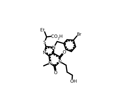 CCC(Sc1nc2c(c(=O)n(CCCO)c(=O)n2C)n1Cc1cccc(Br)c1)C(=O)O